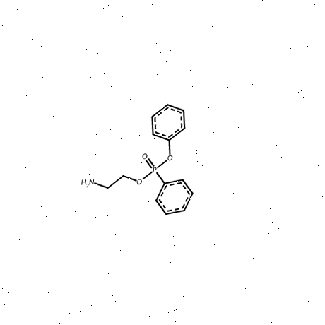 NCCOP(=O)(Oc1ccccc1)c1ccccc1